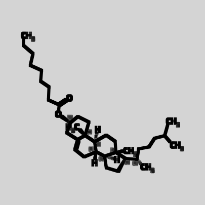 CCCCCCCCC(=O)O[C@H]1CC[C@@]2(C)C(=CC[C@H]3[C@@H]4CC[C@H]([C@@H](C)CCCC(C)C)[C@@]4(C)CC[C@@H]32)C1